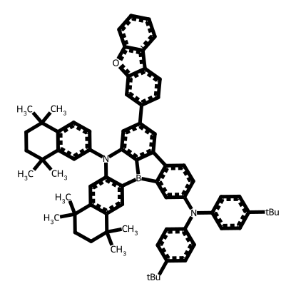 CC(C)(C)c1ccc(N(c2ccc(C(C)(C)C)cc2)c2ccc3c(c2)B2c4cc5c(cc4N(c4ccc6c(c4)C(C)(C)CCC6(C)C)c4cc(-c6ccc7c(c6)oc6ccccc67)cc-3c42)C(C)(C)CCC5(C)C)cc1